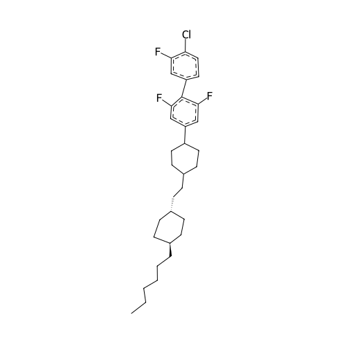 CCCCCC[C@H]1CC[C@H](CCC2CCC(c3cc(F)c(-c4ccc(Cl)c(F)c4)c(F)c3)CC2)CC1